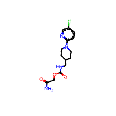 NC(=O)COC(=O)NCC1CCN(c2ccc(Cl)cn2)CC1